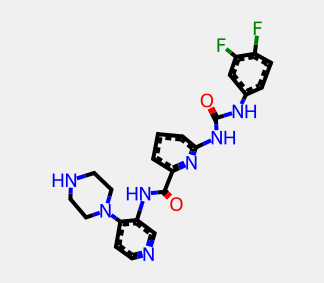 O=C(Nc1ccc(F)c(F)c1)Nc1cccc(C(=O)Nc2cnccc2N2CCNCC2)n1